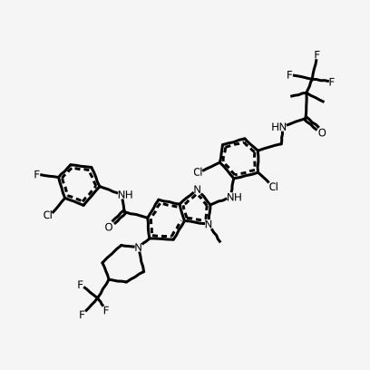 Cn1c(Nc2c(Cl)ccc(CNC(=O)C(C)(C)C(F)(F)F)c2Cl)nc2cc(C(=O)Nc3ccc(F)c(Cl)c3)c(N3CCC(C(F)(F)F)CC3)cc21